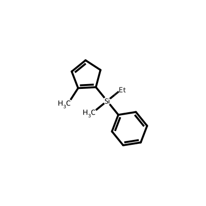 CC[Si](C)(C1=C(C)C=CC1)c1ccccc1